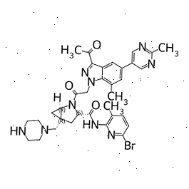 CC(=O)c1nn(CC(=O)N2[C@H](C(=O)Nc3nc(Br)ccc3C)C[C@@]3(CN4CCNCC4)C[C@@H]23)c2c(C)cc(-c3cnc(C)nc3)cc12